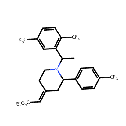 CCOC(=O)C=C1CCN(C(C)c2cc(C(F)(F)F)ccc2C(F)(F)F)C(c2ccc(C(F)(F)F)cc2)C1